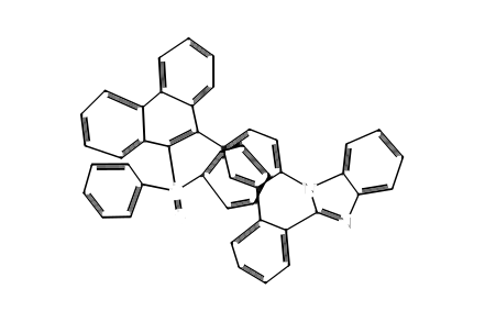 O=P(c1ccccc1)(c1ccccc1)c1c(-c2ccc3c(c2)c2ccccc2c2nc4ccccc4n32)c2ccccc2c2ccccc12